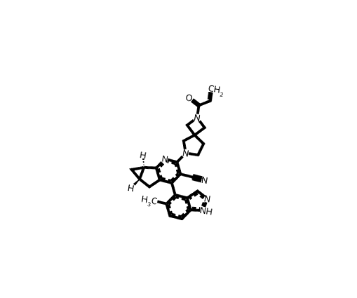 C=CC(=O)N1CC2(CCN(c3nc4c(c(-c5c(C)ccc6[nH]ncc56)c3C#N)C[C@@H]3C[C@@H]43)C2)C1